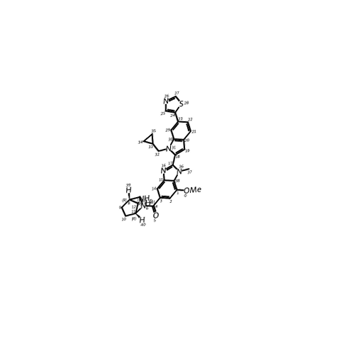 COc1cc(C(=O)N2C[C@H]3CC[C@@H]2[C@@H]3N)cc2nc(-c3cc4ccc(-c5cncs5)cc4n3CC3CC3)n(C)c12